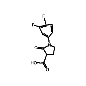 O=C(O)C1CCN(c2ccc(F)c(F)c2)C1=O